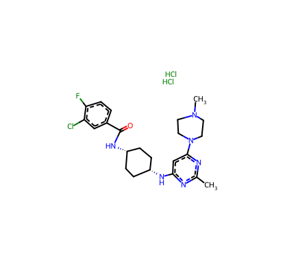 Cc1nc(N[C@H]2CC[C@@H](NC(=O)c3ccc(F)c(Cl)c3)CC2)cc(N2CCN(C)CC2)n1.Cl.Cl